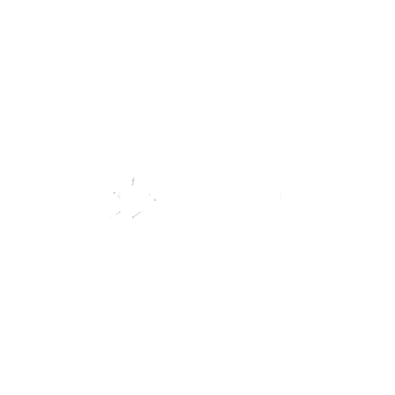 CCCCCCCCCn1ccc(=O)[nH]c1=S